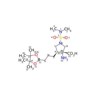 CN(C)S(=O)(=O)N1C[C@H](CCCB2OC(C)(C)C(C)(C)O2)[C@](N)(C(=O)O)C1